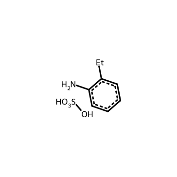 CCc1ccccc1N.O=S(=O)(O)O